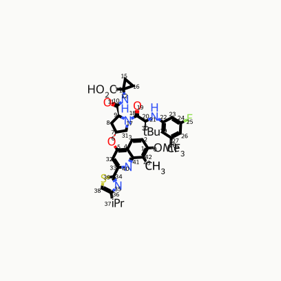 COc1ccc2c(O[C@@H]3C[C@@H](C(=O)NC4(C(=O)O)CC4)N(C(=O)[C@@H](Nc4cc(F)cc(C(F)(F)F)c4)C(C)(C)C)C3)cc(-c3nc(C(C)C)cs3)nc2c1C